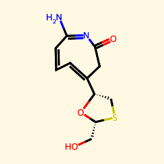 NC1=N/C(=O)C/C([C@@H]2CS[C@H](CO)O2)=C/C=C\1